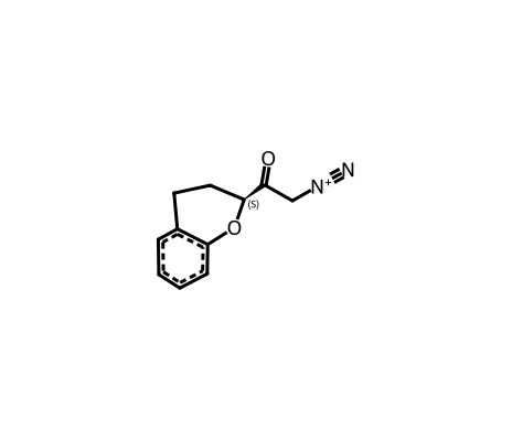 N#[N+]CC(=O)[C@@H]1CCc2ccccc2O1